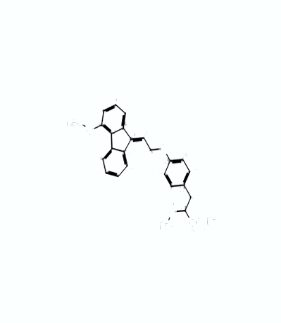 CCCCOc1cccc2c1-c1ccccc1/C2=C\COc1ccc(CC(OCC)C(=O)OCC)cc1